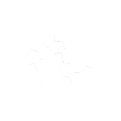 O=c1ccc(-c2ccc(CO)c(OC(F)F)c2)nn1Cc1cccc(CP(=O)(O)O)c1